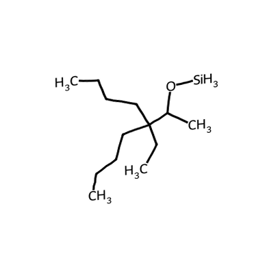 CCCCC(CC)(CCCC)C(C)O[SiH3]